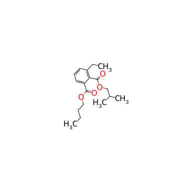 CCCCOC(=O)c1cccc(CC)c1C(=O)OCC(C)C